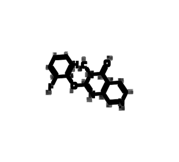 Cn1c(Oc2ccccc2F)nc2cnccc2c1=O